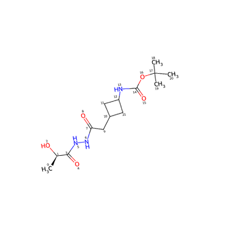 C[C@@H](O)C(=O)NNC(=O)CC1CC(NC(=O)OC(C)(C)C)C1